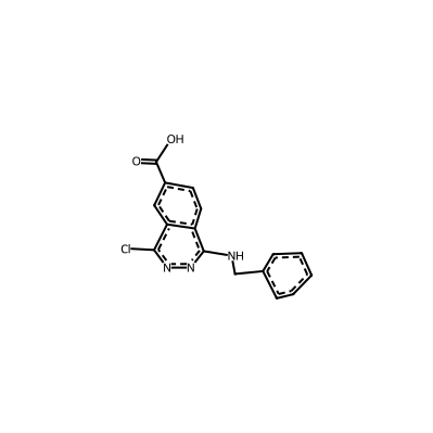 O=C(O)c1ccc2c(NCc3ccccc3)nnc(Cl)c2c1